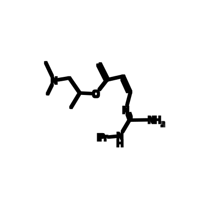 C=C(/C=C\N=C(/N)NC(C)C)OC(C)CN(C)C